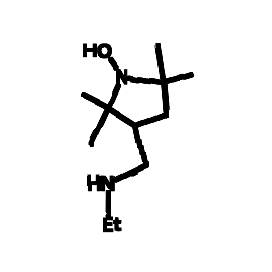 CCNCC1CC(C)(C)N(O)C1(C)C